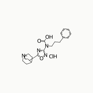 Cl.O=C(O)N(CCCc1ccccc1)c1noc(C2CN3CCC2CC3)n1